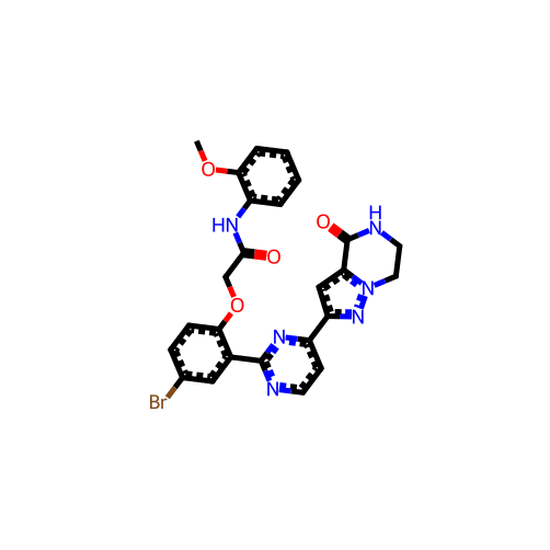 COc1ccccc1NC(=O)COc1ccc(Br)cc1-c1nccc(-c2cc3n(n2)CCNC3=O)n1